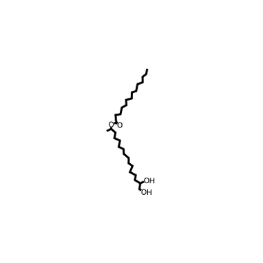 CCCCCCCCCCCCCC(=O)OC(C)CCCCCCCCCCCCC(O)CO